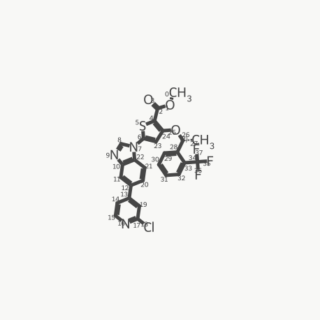 COC(=O)c1sc(-n2cnc3cc(-c4ccnc(Cl)c4)ccc32)cc1O[C@H](C)c1ccccc1C(F)(F)F